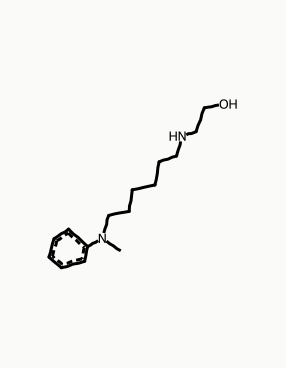 CN(CCCCCCNCCO)c1ccccc1